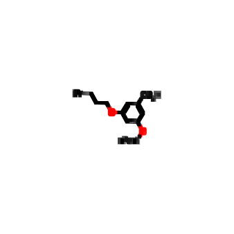 CCCCCOc1cc(OCCCC(C)C)cc(C(=O)O)c1